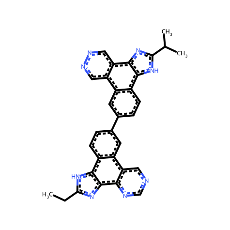 CCc1nc2c3ncncc3c3cc(-c4ccc5c(c4)c4cnncc4c4nc(C(C)C)[nH]c54)ccc3c2[nH]1